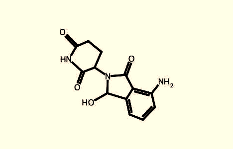 Nc1cccc2c1C(=O)N(C1CCC(=O)NC1=O)C2O